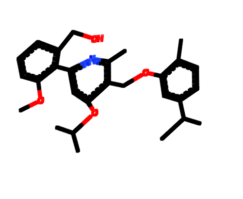 COc1cccc(CO)c1-c1cc(OC(C)C)c(COc2cc(C(C)C)ccc2C)c(C)n1